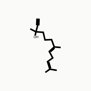 C#CC(C)(O)CCCC(C)=CCC=C(C)C